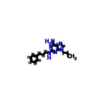 C=CCn1cnc2c(N)nc(NCCCc3ccccc3)nc21